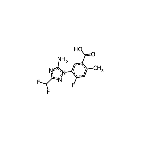 Cc1cc(F)c(-n2nc(C(F)F)nc2N)cc1C(=O)O